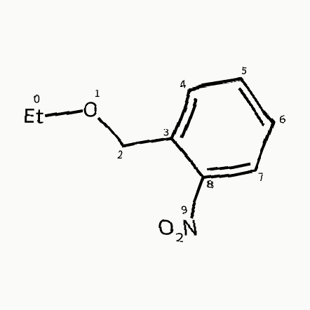 [CH2]COCc1ccccc1[N+](=O)[O-]